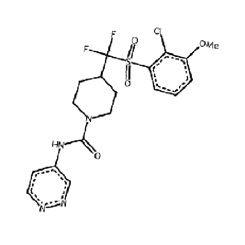 COc1cccc(S(=O)(=O)C(F)(F)C2CCN(C(=O)Nc3ccnnc3)CC2)c1Cl